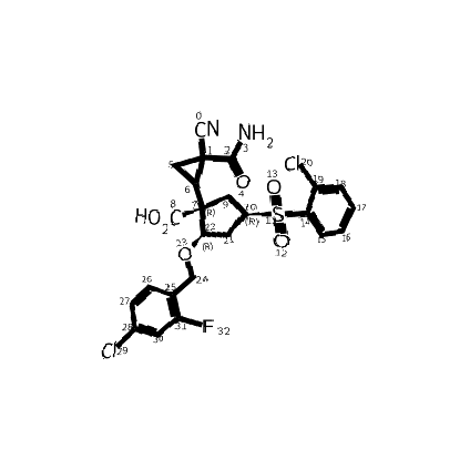 N#CC1(C(N)=O)CC1[C@]1(C(=O)O)C[C@@H](S(=O)(=O)c2ccccc2Cl)C[C@H]1OCc1ccc(Cl)cc1F